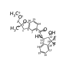 COC[C@@]1(C)Cc2cc(C(=O)N[C@@H]3c4ccccc4C(F)(F)[C@H]3O)ccc2O1